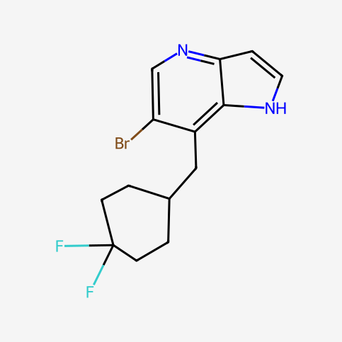 FC1(F)CCC(Cc2c(Br)cnc3cc[nH]c23)CC1